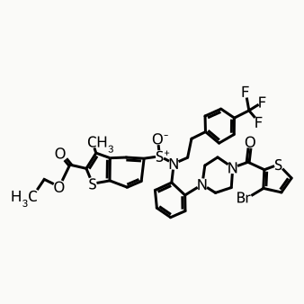 CCOC(=O)c1sc2ccc([S+]([O-])N(CCc3ccc(C(F)(F)F)cc3)c3ccccc3N3CCN(C(=O)c4sccc4Br)CC3)cc2c1C